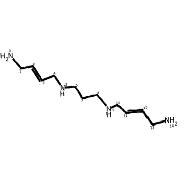 NCC=CCNCCCNCC=CCN